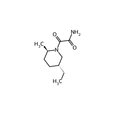 CC[C@@H]1CC[C@@H](C)N(C(=O)C(N)=O)C1